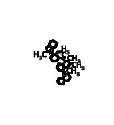 C/C=C\C1C(N2c3ccccc3CC2C)=CC=CC1CSC(C)/C(C)=C\c1ccccc1N1c2ccccc2CCC1C